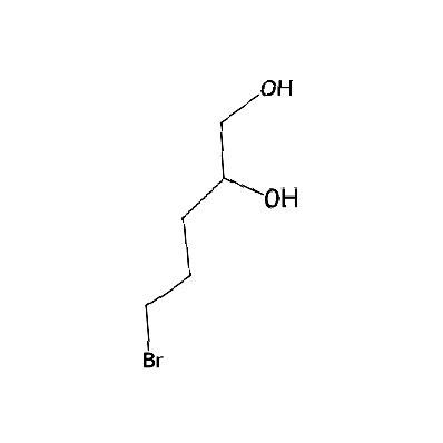 OCC(O)CCCBr